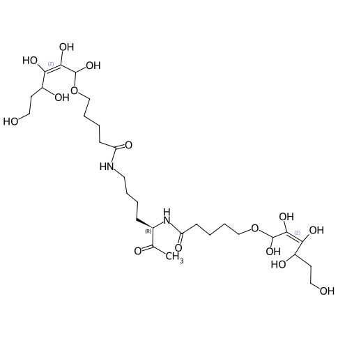 CC(=O)[C@@H](CCCCNC(=O)CCCCOC(O)/C(O)=C(/O)C(O)CCO)NC(=O)CCCCOC(O)/C(O)=C(/O)C(O)CCO